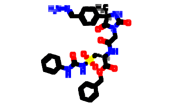 C[C@]1(c2ccc(C=NN)cc2)NC(=O)N(CC(=O)N[C@@H](CS(=O)(=O)NC(=O)Nc2ccccc2)C(=O)OCc2ccccc2)C1=O